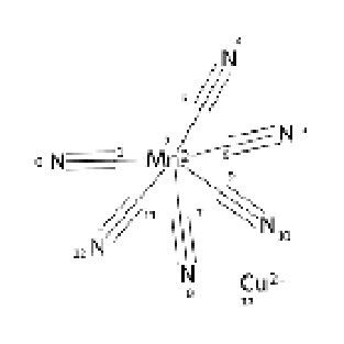 N#[C][Mn-2]([C]#N)([C]#N)([C]#N)([C]#N)[C]#N.[Cu+2]